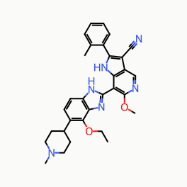 CCOc1c(C2CCN(C)CC2)ccc2[nH]c(-c3c(OC)ncc4c(C#N)c(-c5ccccc5C)[nH]c34)nc12